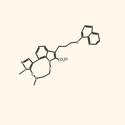 CCOC(=O)c1c(CCCOc2cccc3ccccc23)c2cccc3c2n1CCCN(C)Cc1c-3cnn1C